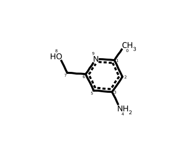 Cc1cc(N)cc(CO)n1